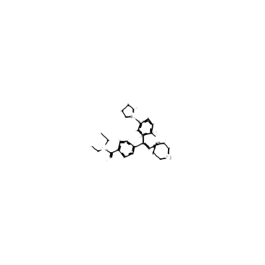 CCN(CC)C(=O)c1ccc(C2=CC3(CCNCC3)Oc3ccc(N4CCCC4)cc32)cc1